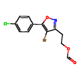 O=COCCc1noc(-c2ccc(Cl)cc2)c1Br